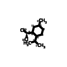 CC1CCC(C(C)C)C(P(Cl)Cl)C1